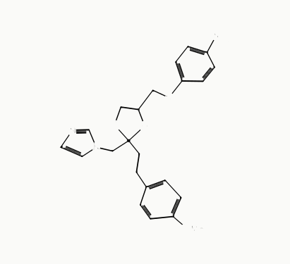 COc1ccc(CCC2(Cn3ccnc3)OCC(CSc3ccc(N)cc3)O2)cc1